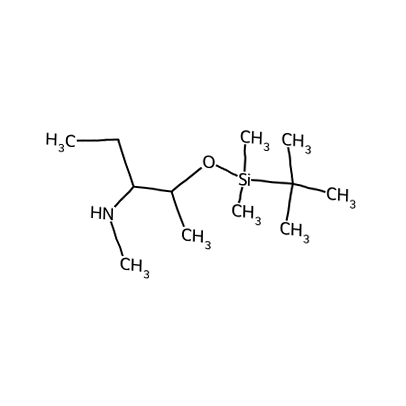 CCC(NC)C(C)O[Si](C)(C)C(C)(C)C